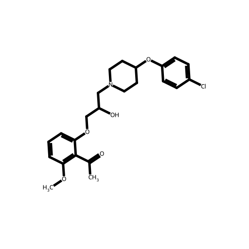 COc1cccc(OCC(O)CN2CCC(Oc3ccc(Cl)cc3)CC2)c1C(C)=O